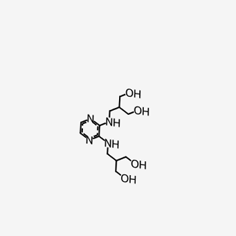 OCC(CO)CNc1nccnc1NCC(CO)CO